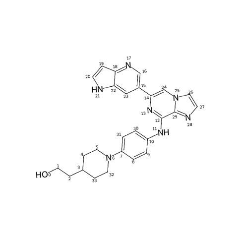 OCCC1CCN(c2ccc(Nc3nc(-c4cnc5cc[nH]c5c4)cn4ccnc34)cc2)CC1